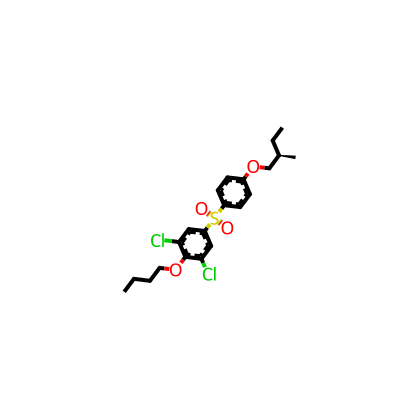 CCCCOc1c(Cl)cc(S(=O)(=O)c2ccc(OC[C@H](C)CC)cc2)cc1Cl